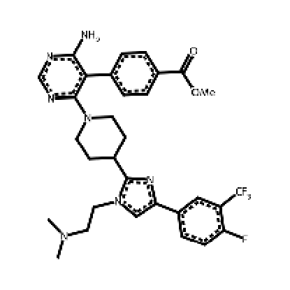 COC(=O)c1ccc(-c2c(N)ncnc2N2CCC(c3nc(-c4ccc(F)c(C(F)(F)F)c4)cn3CCN(C)C)CC2)cc1